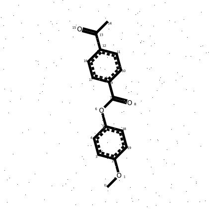 COc1ccc(OC(=O)c2ccc(C(C)=O)cc2)cc1